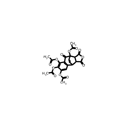 CC(=O)Oc1cc2c(c(OC(C)=O)c1OC(C)=O)C(=O)C1(OC(C)=O)C=CC2C2C(=O)OC(=O)C21